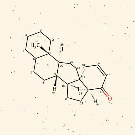 C[C@]12CCCCC1CC[C@H]1[C@@H]3CC[C@@H]4C(=O)C=CC[C@]43CC[C@@H]12